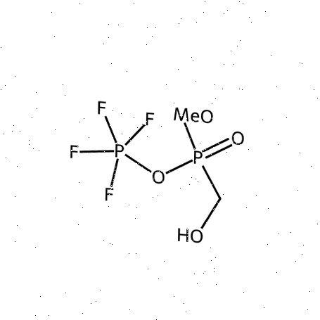 COP(=O)(CO)OP(F)(F)(F)F